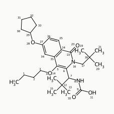 CCCCOc1c(C(NC(=O)O)C(C)(C)C)n(CC(C)(C)C)c(=O)c2ccc(OC3CCCC3)cc12